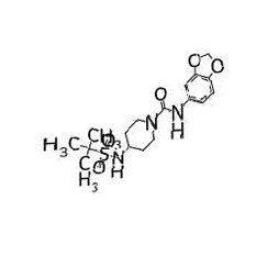 CC(C)(C)S(=O)(=O)NC1CCN(C(=O)Nc2ccc3c(c2)OCO3)CC1